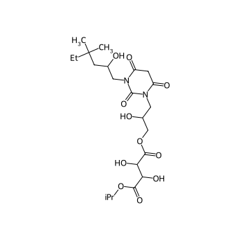 CCC(C)(C)CC(O)CN1C(=O)CC(=O)N(CC(O)COC(=O)C(O)C(O)C(=O)OC(C)C)C1=O